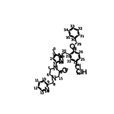 Cc1cc(N2CCN(Cc3ccccn3)CC2=O)nn1Cc1cc(Cl)ccc1OCc1ccccc1.Cl